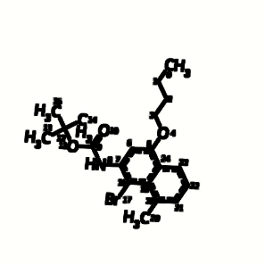 CCCCOc1cc(NC(=O)OC(C)(C)C)c(Br)c2c(C)cccc12